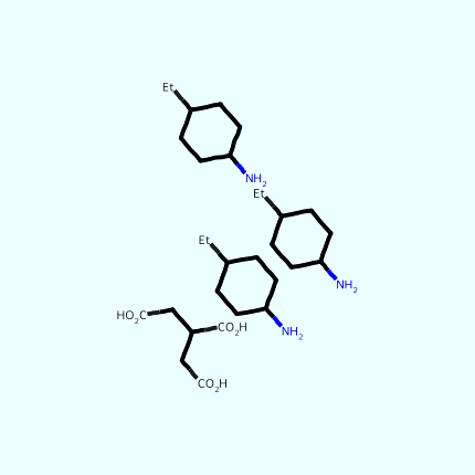 CCC1CCC(N)CC1.CCC1CCC(N)CC1.CCC1CCC(N)CC1.O=C(O)CC(CC(=O)O)C(=O)O